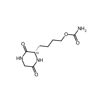 NC(=O)OCCCC[C@@H]1NC(=O)CNC1=O